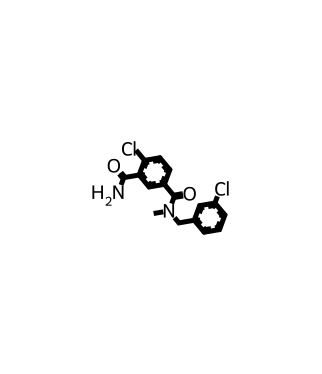 CN(Cc1cccc(Cl)c1)C(=O)c1ccc(Cl)c(C(N)=O)c1